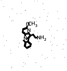 COc1ccc2c(n1)c(CCN)c1n2Cc2ccccc2-1